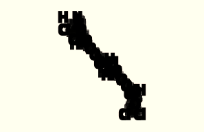 N[C@@H]1CCCN([C@H]2Cc3c(Cl)cc(Cl)cc3[C@@H]2Oc2ccc(S(=O)(=O)NCCOCCOCCNC(=O)NCCCCNC(=O)NCCOCCOCCNS(=O)(=O)c3ccc(O[C@@H]4CCc5c(Cl)cc(Cl)cc54)cc3)cc2)C1